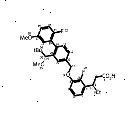 CC[C@H](CC(=O)O)c1cccc(OCc2ccc(-c3cc(OC)ccc3F)c([C@H](OC)C(C)(C)C)c2)c1F